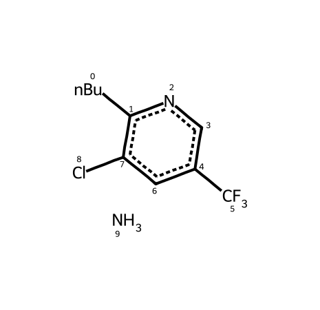 CCCCc1ncc(C(F)(F)F)cc1Cl.N